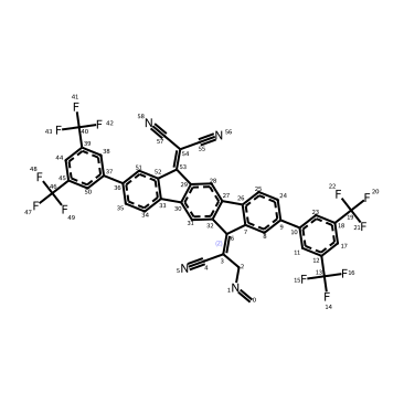 C=NC/C(C#N)=C1\c2cc(-c3cc(C(F)(F)F)cc(C(F)(F)F)c3)ccc2-c2cc3c(cc21)-c1ccc(-c2cc(C(F)(F)F)cc(C(F)(F)F)c2)cc1C3=C(C#N)C#N